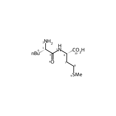 CCCC[C@H](N)C(=O)N[C@@H](CCSC)C(=O)O